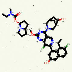 CCc1c(F)ccc2cc(O)cc(-c3ncc4c(N5CC6CC(O)C(C6)C5)nc(OC[C@]56CCCN5[C@@H](OC(=O)N(C)CC)CC6)nc4c3F)c12